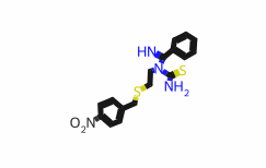 N=C(c1ccccc1)N(CCSCc1ccc([N+](=O)[O-])cc1)C(N)=S